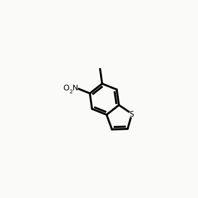 Cc1cc2sccc2cc1[N+](=O)[O-]